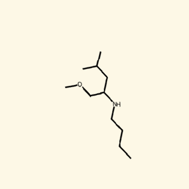 CCCCNC(COC)CC(C)C